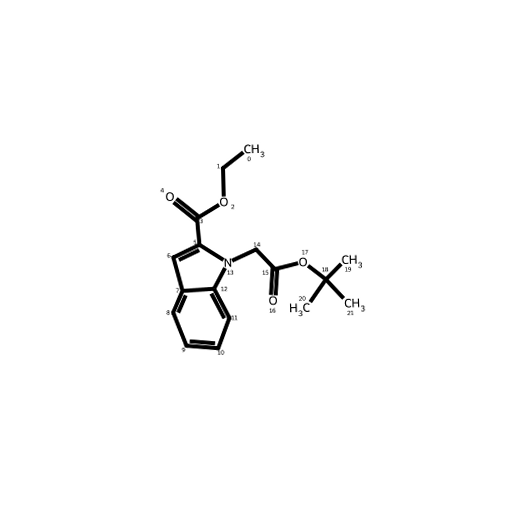 CCOC(=O)c1cc2ccccc2n1CC(=O)OC(C)(C)C